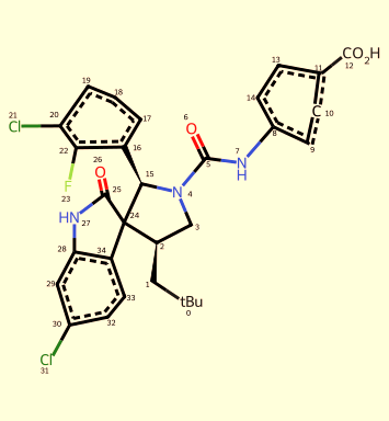 CC(C)(C)C[C@@H]1CN(C(=O)Nc2ccc(C(=O)O)cc2)[C@H](c2cccc(Cl)c2F)C12C(=O)Nc1cc(Cl)ccc12